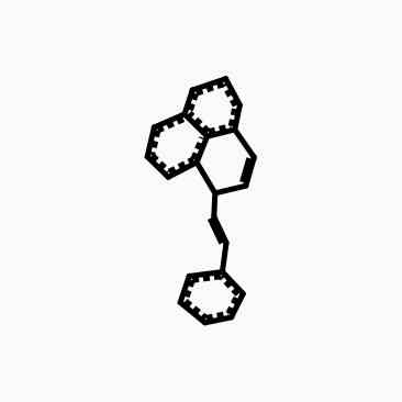 C(=CC1C=Cc2cccc3cccc1c23)c1ccccc1